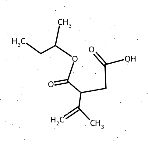 C=C(C)C(CC(=O)O)C(=O)OC(C)CC